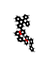 c1ccc(-c2cccc(-c3ccccc3)c2N(c2ccc(-c3ccc4c(c3)c(-c3ccccc3)c(-c3ccccc3)c3ccccc34)cc2)c2ccc(-c3cccc4c3sc3ccccc34)cc2)cc1